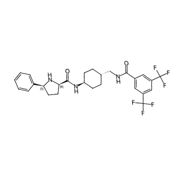 O=C(NC[C@H]1CC[C@H](NC(=O)[C@H]2CC[C@@H](c3ccccc3)N2)CC1)c1cc(C(F)(F)F)cc(C(F)(F)F)c1